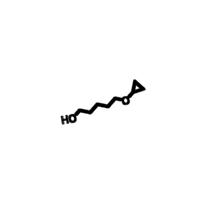 OCCCCCOC1CC1